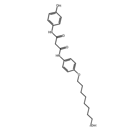 CCCCCCCCCCCCCCCCCCOc1ccc(NC(=O)CC(=O)Nc2ccc(O)cc2)cc1